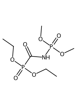 CCOP(=O)(OCC)C(=O)NP(=O)(OC)OC